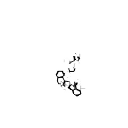 O=C(c1cncs1)N1CC[C@H](Oc2cccc3c2C(CN2C(=O)c4ccccc4C2=O)N(C(=O)O)CC3)C1